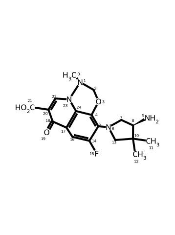 CN1COc2c(N3C[C@@H](N)C(C)(C)C3)c(F)cc3c(=O)c(C(=O)O)cn1c23